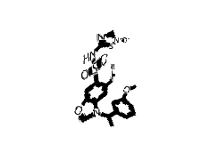 COc1cccc(C(C)N2COc3cc(S(=O)(=O)Nc4nc[n+]([O-])s4)c(F)cc32)c1